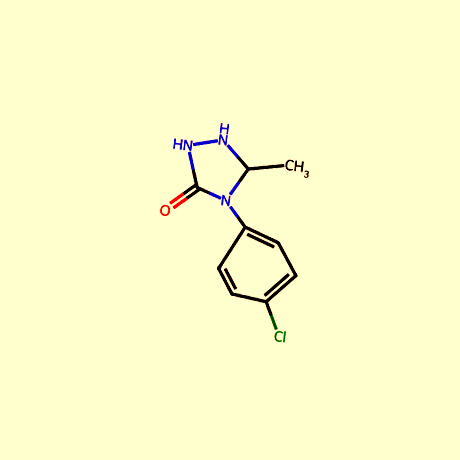 CC1NNC(=O)N1c1ccc(Cl)cc1